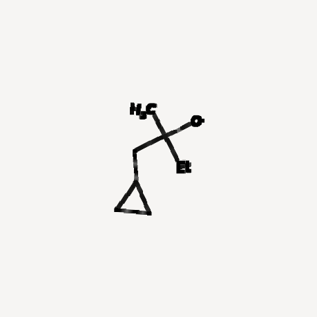 CCC(C)([O])CC1CC1